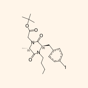 CCCCN1C(=O)[C@H](C)N(CC(=O)OC(C)(C)C)C(=O)[C@H]1Cc1ccc(I)cc1